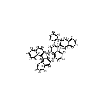 c1ccc(-c2nc3ccccc3nc2-c2ccc(-n3c4ccc5ccccc5c4c4c5ccccc5ccc43)c3ccccc23)cc1